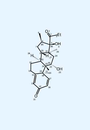 CCC(=O)[C@@]1(O)[C@H](C)C[C@H]2[C@@H]3CCC4=CC(=O)C=C[C@]4(C)[C@@]3(C)[C@@H](O)C[C@@]21C